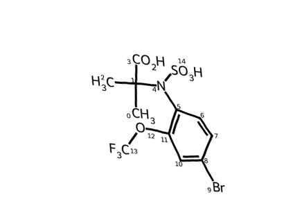 CC(C)(C(=O)O)N(c1ccc(Br)cc1OC(F)(F)F)S(=O)(=O)O